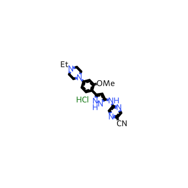 CCN1CCN(c2ccc(-c3cc(Nc4cnc(C#N)cn4)n[nH]3)c(OC)c2)CC1.Cl